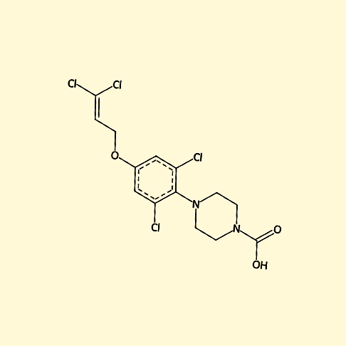 O=C(O)N1CCN(c2c(Cl)cc(OCC=C(Cl)Cl)cc2Cl)CC1